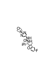 Cc1c(C(NC(=O)Nc2cnc(N3CCOCC3)nc2)C(C)C)oc2ccc(F)cc12